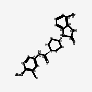 COc1ncc(NC(=O)[C@H]2CC[C@@H](n3c(=O)[nH]c4c(Br)cccc43)CC2)cc1C